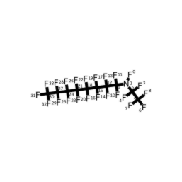 FN(C(F)(F)C(F)(F)F)C(F)(F)C(F)(F)C(F)(F)C(F)(F)C(F)(F)C(F)(F)C(F)(F)C(F)(F)F